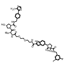 Cc1ncsc1-c1ccc(CNC(=O)[C@@H]2C[C@@H](O)CN2C(=O)[C@@H](NC(=O)COCCOCCNC(=O)c2cc3cc(N4CCC(O)(C(=O)NCc5cc(F)cc(F)c5)C4=O)ccc3[nH]2)C(C)(C)C)cc1